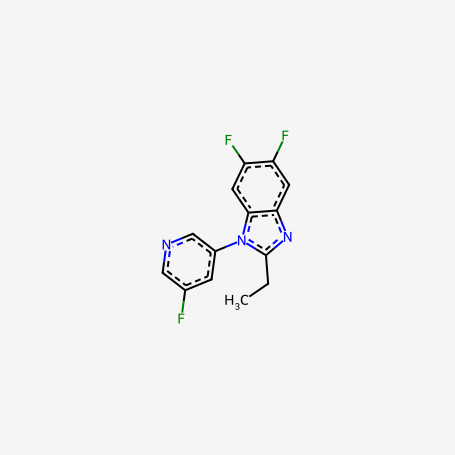 CCc1nc2cc(F)c(F)cc2n1-c1cncc(F)c1